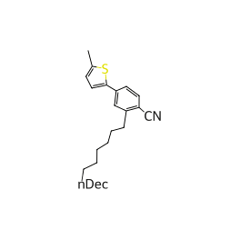 CCCCCCCCCCCCCCCCc1cc(-c2ccc(C)s2)ccc1C#N